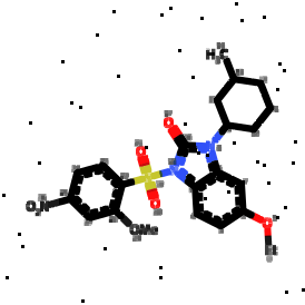 CCOc1ccc2c(c1)n(C1CCCC(C)C1)c(=O)n2S(=O)(=O)c1ccc([N+](=O)[O-])cc1OC